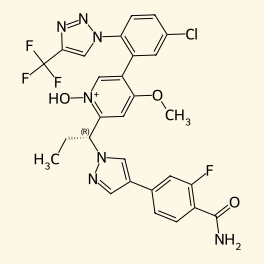 CC[C@H](c1cc(OC)c(-c2cc(Cl)ccc2-n2cc(C(F)(F)F)nn2)c[n+]1O)n1cc(-c2ccc(C(N)=O)c(F)c2)cn1